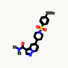 CCN(CC)C(=O)c1cnn2ccc(C3CCN(S(=O)(=O)c4ccc(NC(C)=O)cc4)CC3)cc12